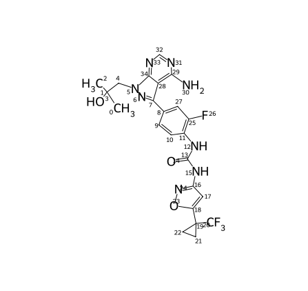 CC(C)(O)Cn1nc(-c2ccc(NC(=O)Nc3cc(C4(C(F)(F)F)CC4)on3)c(F)c2)c2c(N)ncnc21